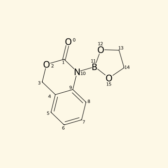 O=C1OCc2ccccc2N1B1OCCO1